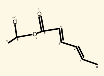 CC=CC=CC(=O)OC(C)Cl